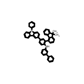 CC1(C)c2ccccc2-c2c(-c3cc(-c4ccc5c(c4)c4ccccc4n5C4=CC=CCC4)ccc3Nc3cccc(-c4ccccc4)c3)cccc21